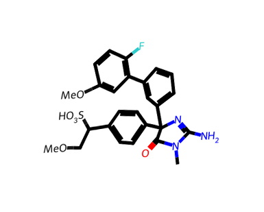 COCC(c1ccc(C2(c3cccc(-c4cc(OC)ccc4F)c3)N=C(N)N(C)C2=O)cc1)S(=O)(=O)O